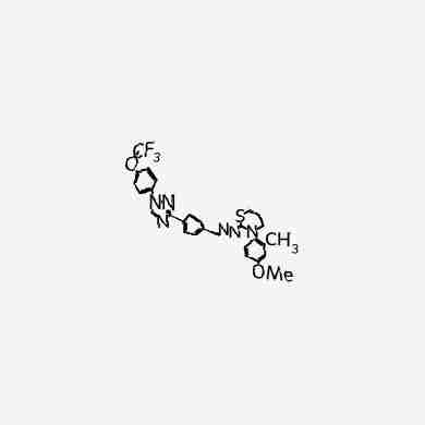 COc1ccc(N2CCCS/C2=N\N=C\c2ccc(-c3ncn(-c4ccc(OC(F)(F)F)cc4)n3)cc2)c(C)c1